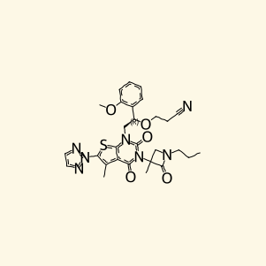 CCCN1CC(C)(n2c(=O)c3c(C)c(-n4nccn4)sc3n(C[C@H](OCCC#N)c3ccccc3OC)c2=O)C1=O